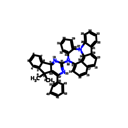 CC1(C)c2ccccc2-c2nc(-n3c4cccc5ccc6c7ccccc7n(c7ccccc73)c6c54)nc(-c3ccccc3)c21